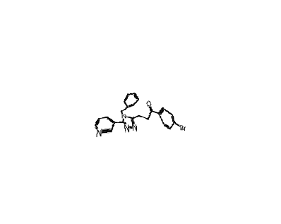 O=C(CCc1nnc(-c2cccnc2)n1Cc1ccccc1)c1ccc(Br)cc1